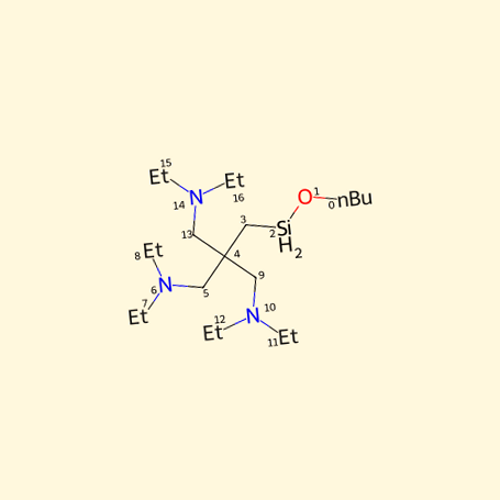 CCCCO[SiH2]CC(CN(CC)CC)(CN(CC)CC)CN(CC)CC